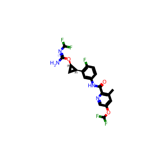 Cc1cc(OC(F)F)cnc1C(=O)Nc1ccc(F)c([C@H]2C[C@H]2O/C(N)=N\C(F)F)c1